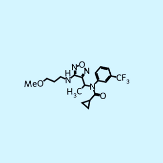 COCCCNc1nonc1C(C)N(C(=O)C1CC1)c1cccc(C(F)(F)F)c1